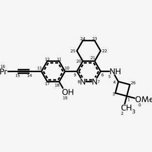 COC1(C)CC(Nc2nnc(-c3ccc(C#CC(C)C)cc3O)c3c2CCCC3)C1